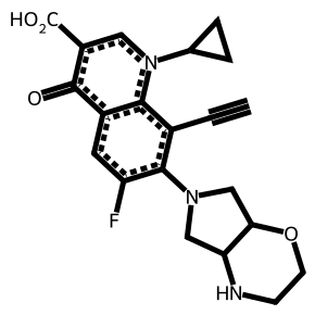 C#Cc1c(N2CC3NCCOC3C2)c(F)cc2c(=O)c(C(=O)O)cn(C3CC3)c12